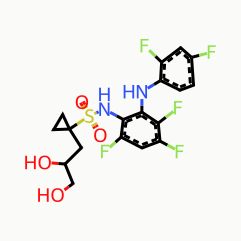 O=S(=O)(Nc1c(F)cc(F)c(F)c1Nc1ccc(F)cc1F)C1(CC(O)CO)CC1